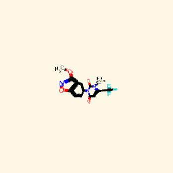 COc1noc2ccc(-n3c(=O)cc(C(F)(F)F)n(C)c3=O)cc12